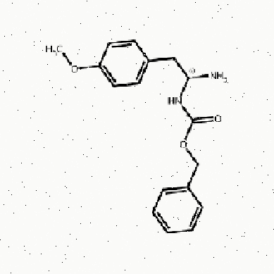 COc1ccc(C[C@@H](N)NC(=O)OCc2ccccc2)cc1